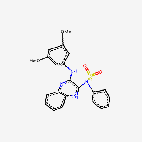 COc1cc(Nc2nc3ccccc3nc2N(c2[c]cccc2)[SH](=O)=O)cc(OC)c1